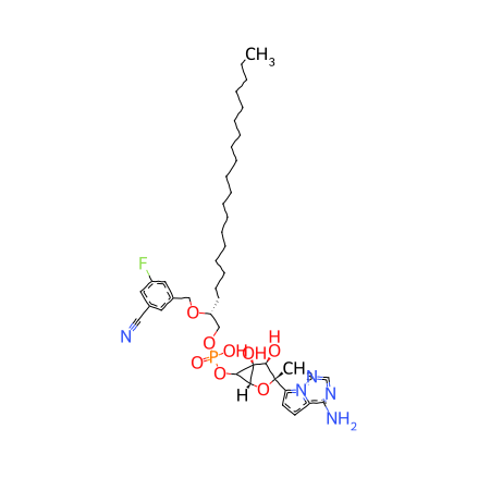 CCCCCCCCCCCCCCCCCCC[C@H](COP(=O)(O)OC1[C@H]2O[C@@](C)(c3ccc4c(N)ncnn34)[C@H](O)[C@@]12O)OCc1cc(F)cc(C#N)c1